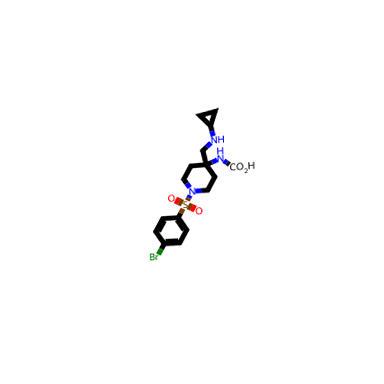 O=C(O)NC1(CNC2CC2)CCN(S(=O)(=O)c2ccc(Br)cc2)CC1